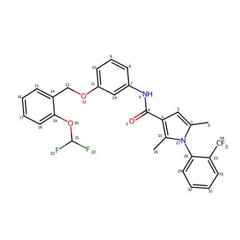 Cc1cc(C(=O)Nc2cccc(OCc3ccccc3OC(F)F)c2)c(C)n1-c1ccccc1C(F)(F)F